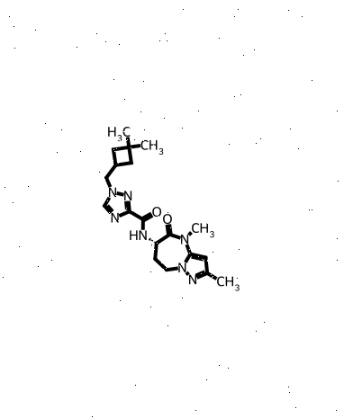 Cc1cc2n(n1)CC[C@H](NC(=O)c1ncn(CC3CC(C)(C)C3)n1)C(=O)N2C